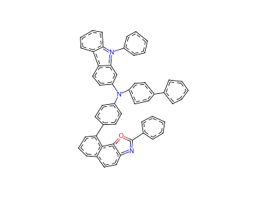 c1ccc(-c2ccc(N(c3ccc(-c4cccc5ccc6nc(-c7ccccc7)oc6c45)cc3)c3ccc4c5ccccc5n(-c5ccccc5)c4c3)cc2)cc1